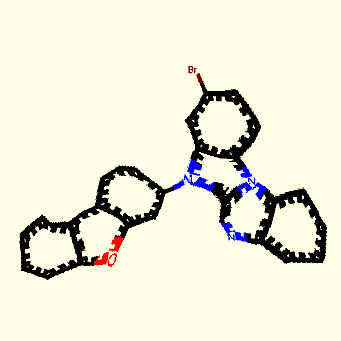 Brc1ccc2c(c1)n(-c1ccc3c(c1)oc1ccccc13)c1nc3ccccc3n21